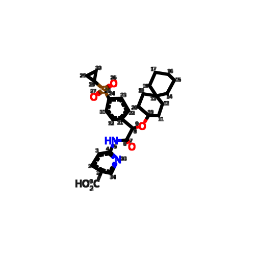 O=C(O)c1ccc(NC(=O)C(OC2CCC3(CCCCC3)CC2)c2ccc(S(=O)(=O)C3CC3)cc2)nc1